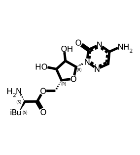 CC[C@H](C)[C@H](N)C(=O)OC[C@H]1O[C@@H](n2ncc(N)nc2=O)C(O)C1O